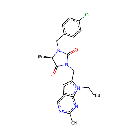 CC(C)[C@@H]1C(=O)N(Cc2cc3cnc(C#N)nc3n2CC(C)(C)C)C(=O)N1Cc1ccc(Cl)cc1